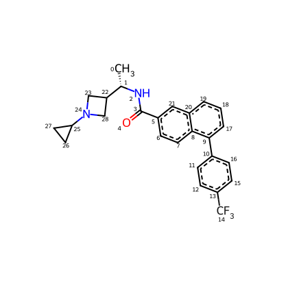 C[C@H](NC(=O)c1ccc2c(-c3ccc(C(F)(F)F)cc3)cccc2c1)C1CN(C2CC2)C1